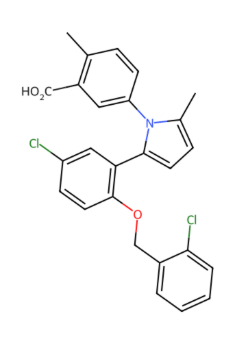 Cc1ccc(-n2c(C)ccc2-c2cc(Cl)ccc2OCc2ccccc2Cl)cc1C(=O)O